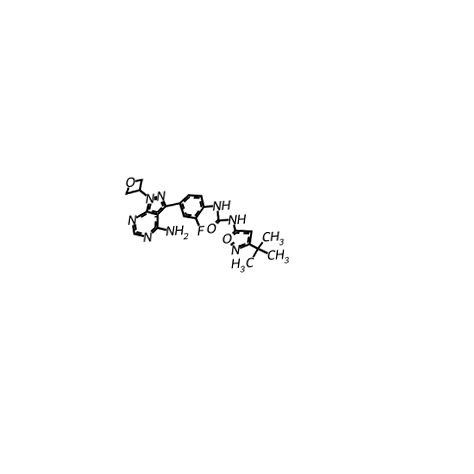 CC(C)(C)c1cc(NC(=O)Nc2ccc(-c3nn(C4COC4)c4ncnc(N)c34)cc2F)on1